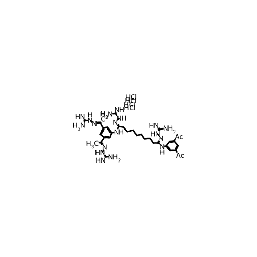 CC(=O)c1cc(NC(CCCCCCCCC(=NNC(=N)N)Nc2cc(C(C)=NNC(=N)N)cc(C(C)=NNC(=N)N)c2)=NNC(=N)N)cc(C(C)=O)c1.Cl.Cl.Cl.Cl